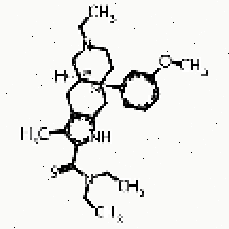 CCN1CC[C@]2(c3cccc(OC)c3)Cc3[nH]c(C(=S)N(CC)CC)c(C)c3C[C@H]2C1